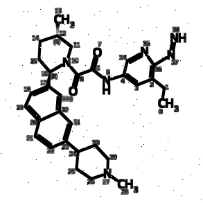 CCc1cc(NC(=O)C(=O)N2C[C@@H](C)CC[C@@H]2c2ccc3ccc(C4CCN(C)CC4)cc3c2)cnc1N=N